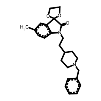 Cc1ccc2c(c1)C1(OCCO1)C(=O)N2CCC1CCN(Cc2ccccc2)CC1